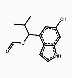 CC(C)C(OC=O)c1cc(O)cc2[nH]ccc12